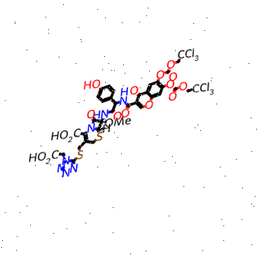 CO[C@@]1(NC(=O)C(NC(=O)c2coc3cc(OC(=O)OCC(Cl)(Cl)Cl)c(OC(=O)OCC(Cl)(Cl)Cl)cc3c2=O)c2ccc(O)cc2)C(=O)N2C(C(=O)O)=C(CSc3nnnn3CC(=O)O)CS[C@H]21